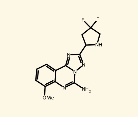 COc1cccc2c1nc(N)n1nc(C3CC(F)(F)CN3)nc21